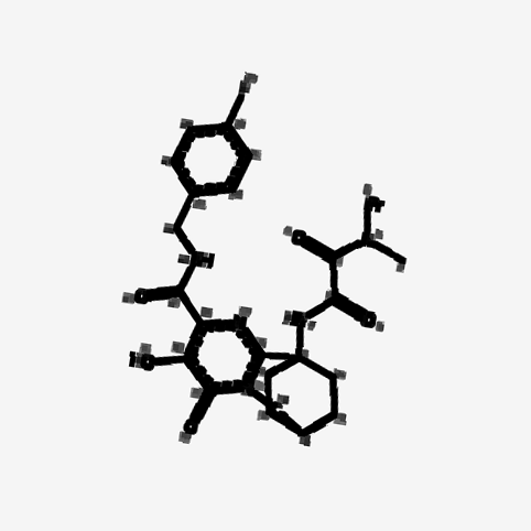 CC(C)N(C)C(=O)C(=O)NC12CCC(CC1)Cn1c2nc(C(=O)NCc2ccc(F)cc2)c(O)c1=O